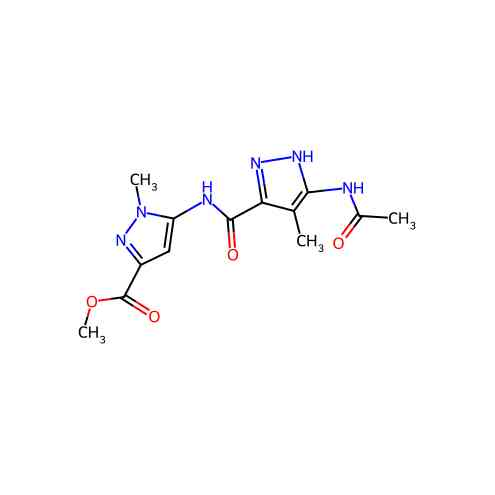 COC(=O)c1cc(NC(=O)c2n[nH]c(NC(C)=O)c2C)n(C)n1